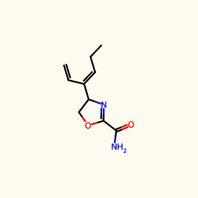 C=C/C(=C\CC)C1COC(C(N)=O)=N1